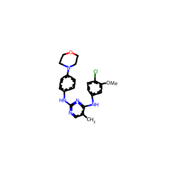 COc1cc(Nc2nc(Nc3ccc(N4CCOCC4)cc3)ncc2C)ccc1Cl